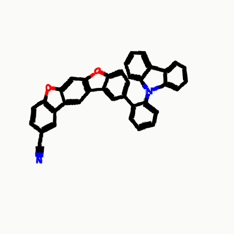 N#Cc1ccc2oc3cc4oc5ccc(-c6ccccc6-n6c7ccccc7c7ccccc76)cc5c4cc3c2c1